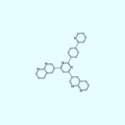 c1ccc(-c2ccc(-c3nc(-c4cnc5ncccc5c4)cc(-c4cnc5ncccc5c4)n3)cc2)nc1